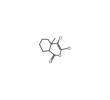 CC12CCCCC1C(=O)OC(Cl)=C2Cl